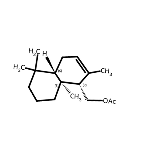 CC(=O)OC[C@H]1C(C)=CC[C@H]2C(C)(C)CCC[C@]12C